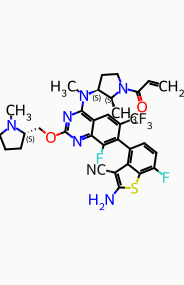 C=CC(=O)N1CC[C@H](N(C)c2nc(OC[C@@H]3CCCN3C)nc3c(F)c(-c4ccc(F)c5sc(N)c(C#N)c45)c(C(F)(F)F)cc23)[C@@H]1C